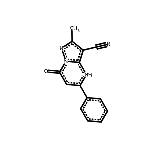 Cc1nn2c(=O)cc(-c3ccccc3)[nH]c2c1C#N